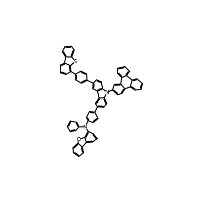 c1ccc(N(c2ccc(-c3ccc4c(c3)c3cc(-c5ccc(-c6cccc7c6sc6ccccc67)cc5)ccc3n4-c3ccc4c5ccccc5c5ccccc5c4c3)cc2)c2cccc3c2oc2ccccc23)cc1